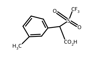 Cc1cccc(C(C(=O)O)S(=O)(=O)C(F)(F)F)c1